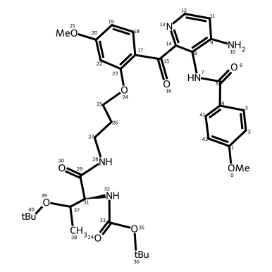 COc1ccc(C(=O)Nc2c(N)ccnc2C(=O)c2ccc(OC)cc2OCCCNC(=O)[C@@H](NC(=O)OC(C)(C)C)C(C)OC(C)(C)C)cc1